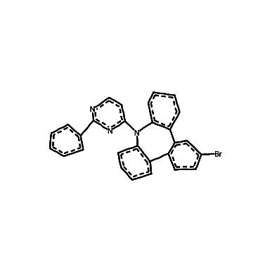 Brc1ccc2c(c1)-c1ccccc1N(c1ccnc(-c3ccccc3)n1)c1ccccc1-2